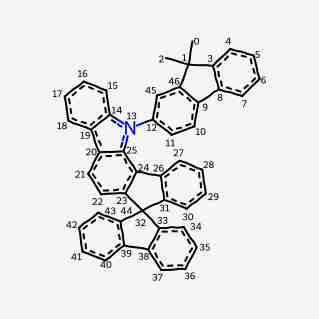 CC1(C)c2ccccc2-c2ccc(-n3c4ccccc4c4ccc5c(c43)-c3ccccc3C53c4ccccc4-c4ccccc43)cc21